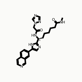 CNC(=O)CCCCC[C@H](NC(=O)Cn1cncn1)c1ncc(-c2ccc3ccncc3c2)[nH]1